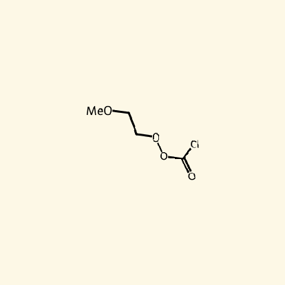 COCCOOC(=O)Cl